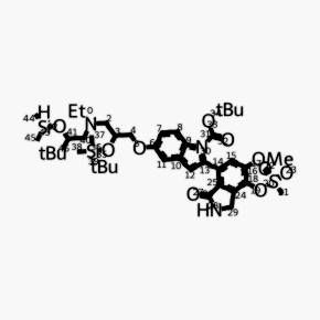 CCN(CC(COc1ccc2c(c1)cc(-c1cc(OC)c(OS(C)(=O)=O)c3c1C(=O)NC3)n2C(=O)OC(C)(C)C)O[Si](C)(C)C(C)(C)C)CC(O[SiH](C)C)C(C)(C)C